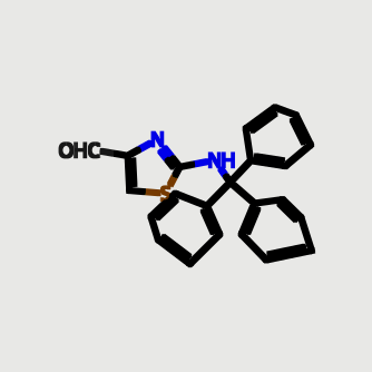 O=Cc1csc(NC(c2ccccc2)(c2ccccc2)c2ccccc2)n1